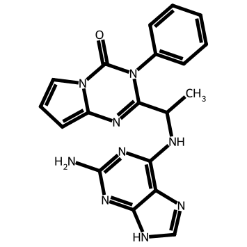 CC(Nc1nc(N)nc2[nH]cnc12)c1nc2cccn2c(=O)n1-c1ccccc1